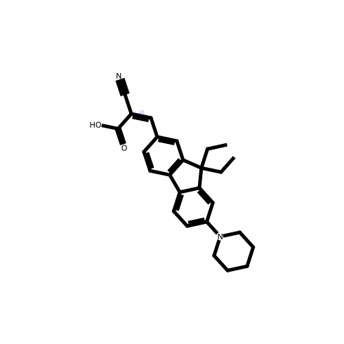 CCC1(CC)c2cc(/C=C(/C#N)C(=O)O)ccc2-c2ccc(N3CCCCC3)cc21